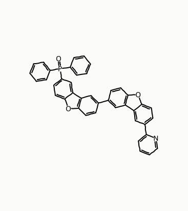 O=P(c1ccccc1)(c1ccccc1)c1ccc2oc3ccc(-c4ccc5oc6ccc(-c7ccccn7)cc6c5c4)cc3c2c1